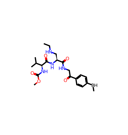 CBc1ccc(C(=O)CNC(=O)[C@H](CNCC)NC(=O)[C@@H](NC(=O)OC)C(C)C)cc1